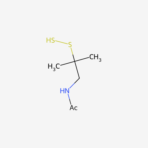 CC(=O)NCC(C)(C)SS